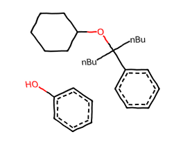 CCCCC(CCCC)(OC1CCCCC1)c1ccccc1.Oc1ccccc1